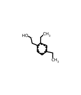 CCc1ccc(C[CH]O)c(CC)c1